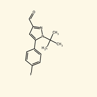 CC(C)(C)n1nc(C=O)cc1-c1ccc(F)cc1